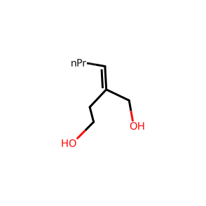 CCCC=C(CO)CCO